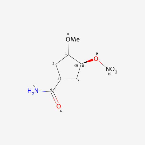 COC1CC(C(N)=O)C[C@@H]1O[N+](=O)[O-]